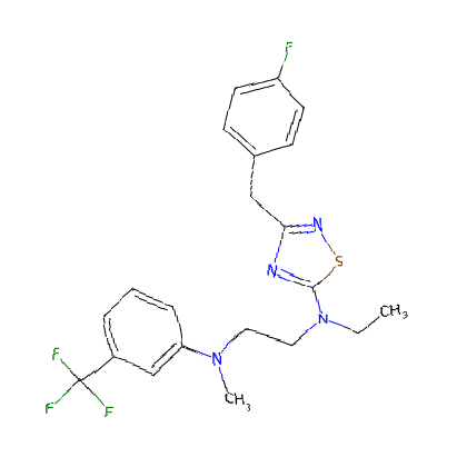 CCN(CCN(C)c1cccc(C(F)(F)F)c1)c1nc(Cc2ccc(F)cc2)ns1